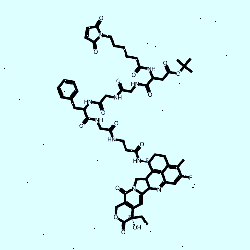 CC[C@@]1(O)C(=O)OCc2c1cc1n(c2=O)CC2C3=c4c(c(C)c(F)cc4=NC12)CC[C@@H]3NC(=O)CCNC(=O)CNC(=O)C(Cc1ccccc1)NC(=O)CNC(=O)CNC(=O)C(CC(=O)OC(C)(C)C)NC(=O)CCCCCN1C(=O)C=CC1=O